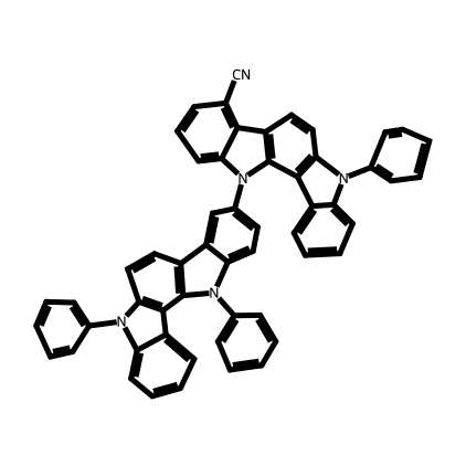 N#Cc1cccc2c1c1ccc3c(c4ccccc4n3-c3ccccc3)c1n2-c1ccc2c(c1)c1ccc3c(c4ccccc4n3-c3ccccc3)c1n2-c1ccccc1